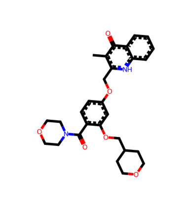 Cc1c(COc2ccc(C(=O)N3CCOCC3)c(OCC3CCOCC3)c2)[nH]c2ccccc2c1=O